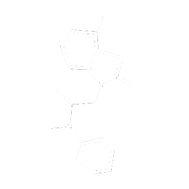 CN(C(=O)Cn1c(=O)oc2c(Br)cccc21)c1ccccc1